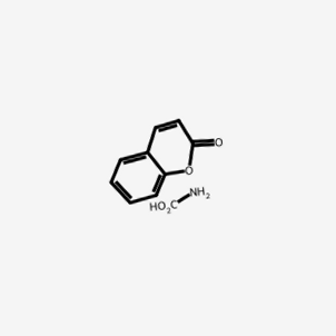 NC(=O)O.O=c1ccc2ccccc2o1